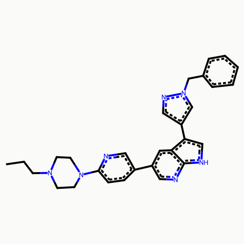 CCCN1CCN(c2ccc(-c3cnc4[nH]cc(-c5cnn(Cc6ccccc6)c5)c4c3)cn2)CC1